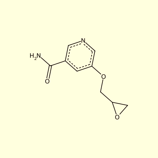 NC(=O)c1cncc(OCC2CO2)c1